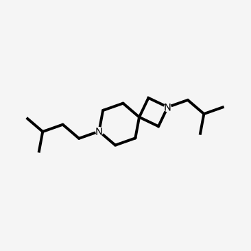 CC(C)CCN1CCC2(CC1)CN(CC(C)C)C2